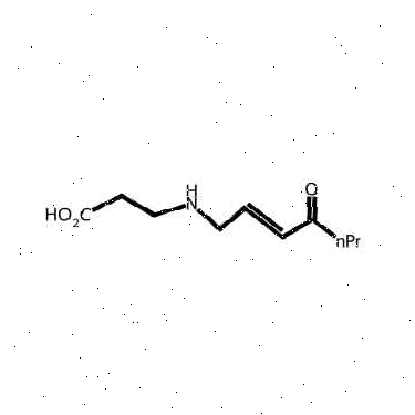 CCCC(=O)/C=C/CNCCC(=O)O